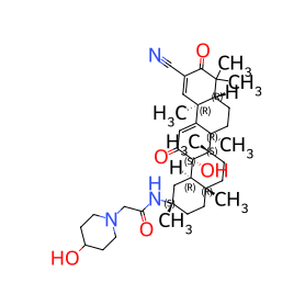 CC1(C)C(=O)C(C#N)=C[C@]2(C)C3=CC(=O)[C@]4(O)[C@@H]5C[C@@](C)(NC(=O)CN6CCC(O)CC6)CC[C@@]5(C)CC[C@@]4(C)[C@]3(C)CC[C@@H]12